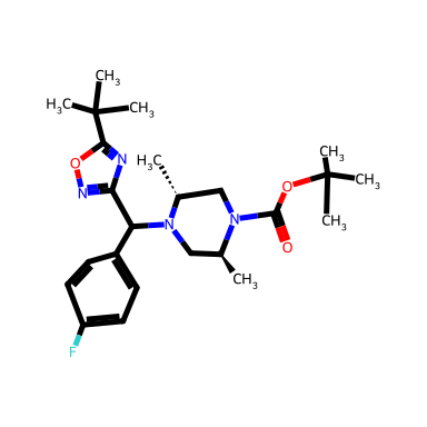 C[C@@H]1CN(C(=O)OC(C)(C)C)[C@@H](C)CN1C(c1ccc(F)cc1)c1noc(C(C)(C)C)n1